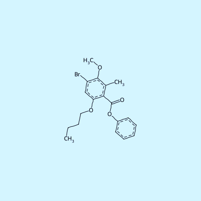 CCCCOc1cc(Br)c(OC)c(C)c1C(=O)Oc1ccccc1